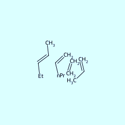 C/C=C/CC.C=C.C=CC.C=CCCC